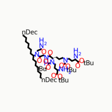 CCCCCCCCCCCCCCCCCC(CCCCCCCCCCCCCCCCC)N(CC(N)=O)C(=O)CNC(=O)[C@H](CCCN(CCC(N)C(=O)OC(C)(C)C)C(=O)OC(C)(C)C)N(CCC(N)C(=O)OC(C)(C)C)C(=O)OC(C)(C)C